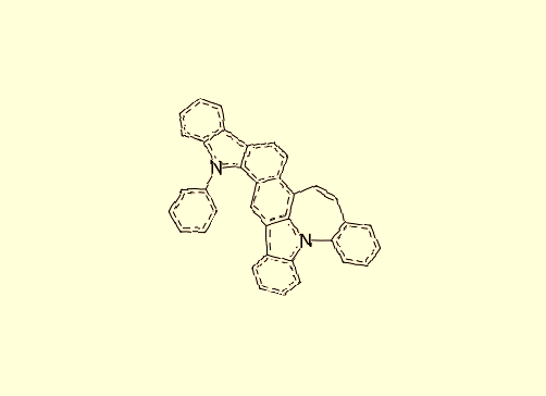 C1=Cc2c3ccc4c5ccccc5n(-c5ccccc5)c4c3cc3c4ccccc4n(c23)-c2ccccc21